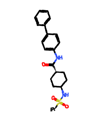 CC(C)S(=O)(=O)N[C@H]1CC[C@H](C(=O)Nc2ccc(-c3ccccc3)cc2)CC1